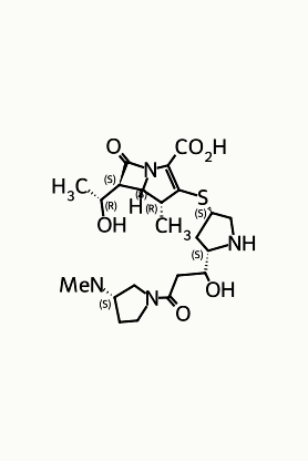 CN[C@H]1CCN(C(=O)CC(O)[C@@H]2C[C@H](SC3=C(C(=O)O)N4C(=O)[C@H]([C@@H](C)O)[C@H]4[C@H]3C)CN2)C1